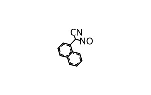 N#CC(N=O)c1cccc2ccccc12